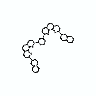 c1cc(-c2ccc3ccc4ccc(-c5ccc6ccccc6c5)nc4c3n2)cc(-c2ccc3ccc4ccc(-c5ccc6ccccc6c5)nc4c3n2)c1